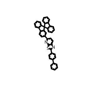 c1ccc(-c2ccc(-c3nc4ccc(-c5ccc6c(c5)C5(c7ccccc7-c7ccccc75)c5ccccc5-6)nc4s3)cc2)cc1